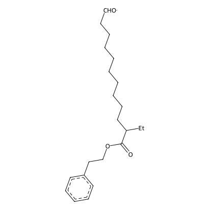 CCC(CCCCCCCCC[C]=O)C(=O)OCCc1ccccc1